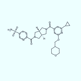 NS(=O)(=O)c1ccc(C(=O)N2C[C@@H]3CN(C(=O)c4cc(OCC5CCOCC5)nc(C5CC5)c4)C[C@H]3C2)nc1